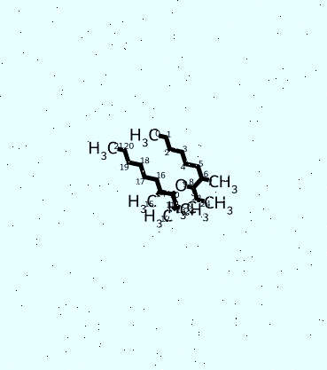 CCCCCCC(C)C(OC(C(C)C)C(C)CCCCCC)C(C)C